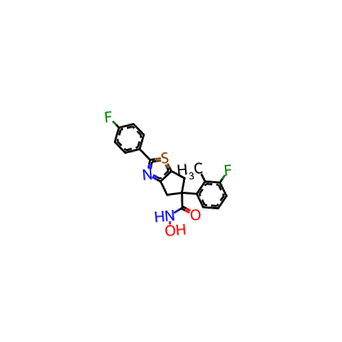 Cc1c(F)cccc1C1(C(=O)NO)Cc2nc(-c3ccc(F)cc3)sc2C1